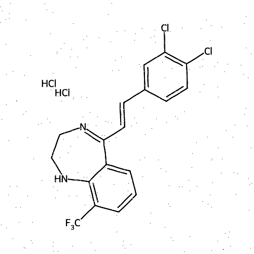 Cl.Cl.FC(F)(F)c1cccc2c1NCCN=C2C=Cc1ccc(Cl)c(Cl)c1